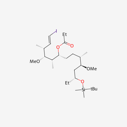 CCC(=O)O[C@H](CC[C@H](C)[C@H](C[C@@H](CC)O[Si](C)(C)C(C)(C)C)OC)[C@H](C)[C@H](OC)[C@H](C)/C=C/I